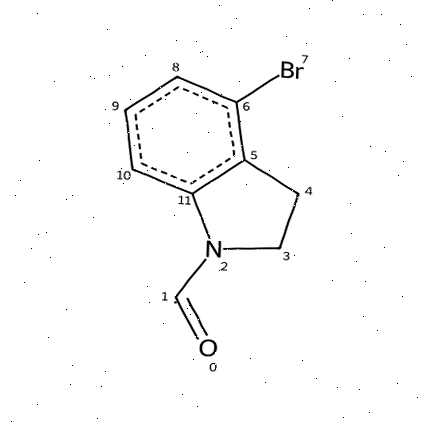 O=[C]N1CCc2c(Br)cccc21